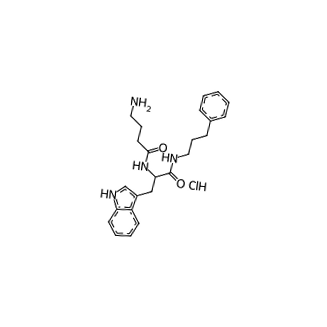 Cl.NCCCC(=O)NC(Cc1c[nH]c2ccccc12)C(=O)NCCCc1ccccc1